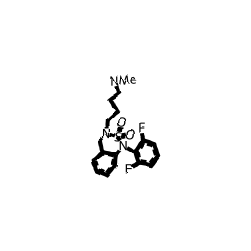 CNCCCCN1Cc2ccccc2N(c2c(F)cccc2F)S1(=O)=O